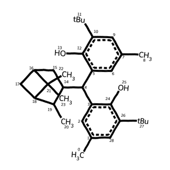 Cc1cc(C(c2cc(C)cc(C(C)(C)C)c2O)C2CC3CC(C2C)C3(C)C)c(O)c(C(C)(C)C)c1